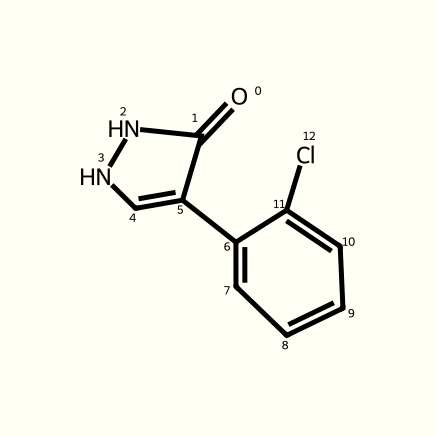 O=c1[nH][nH]cc1-c1ccccc1Cl